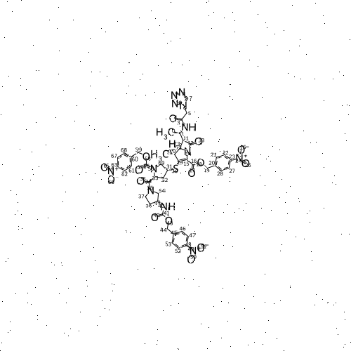 C[C@@H](NC(=O)Cn1cnnn1)[C@H]1C(=O)N2C(C(=O)OCc3ccc([N+](=O)[O-])cc3)=C(S[C@H]3C[C@@H](C(=O)N4CC[C@@H](NC(=O)OCc5ccc([N+](=O)[O-])cc5)C4)N(C(=O)OCc4ccc([N+](=O)[O-])cc4)C3)[C@H](C)[C@@H]12